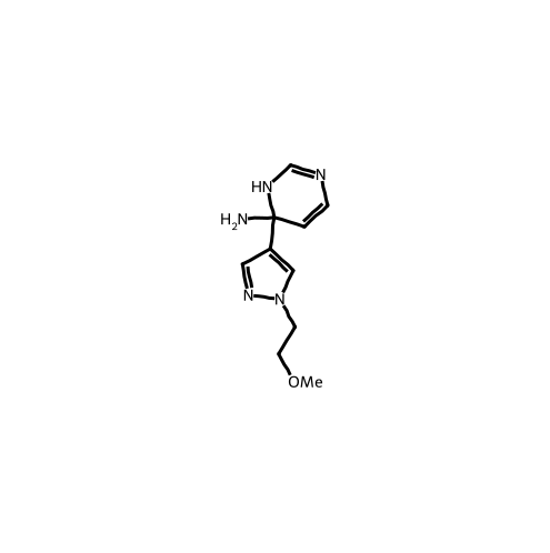 COCCn1cc(C2(N)C=CN=CN2)cn1